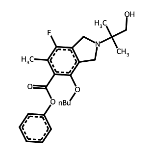 CCCCOc1c2c(c(F)c(C)c1C(=O)Oc1ccccc1)CN(C(C)(C)CO)C2